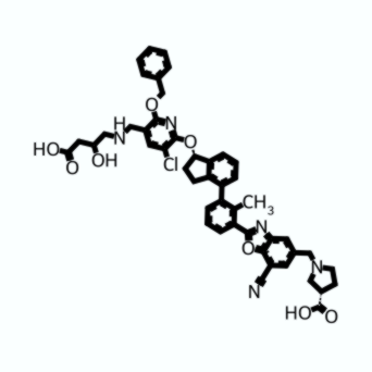 Cc1c(-c2nc3cc(CN4CC[C@H](C(=O)O)C4)cc(C#N)c3o2)cccc1-c1cccc2c1CC[C@@H]2Oc1nc(OCc2ccccc2)c(CNCC(O)CC(=O)O)cc1Cl